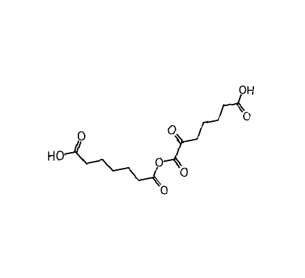 O=C(O)CCCCCC(=O)OC(=O)C(=O)CCCCC(=O)O